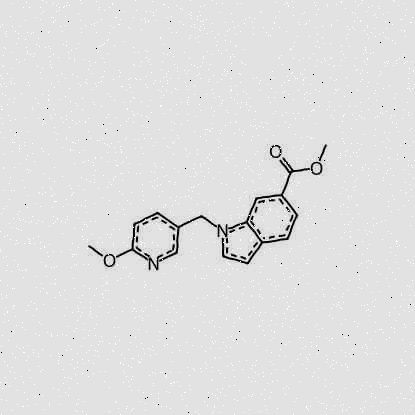 COC(=O)c1ccc2ccn(Cc3ccc(OC)nc3)c2c1